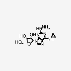 NNc1nc(NC2CC2)c2ncn([C@@H]3O[C@H](CO)[C@H](O)[C@@H]3O)c2n1